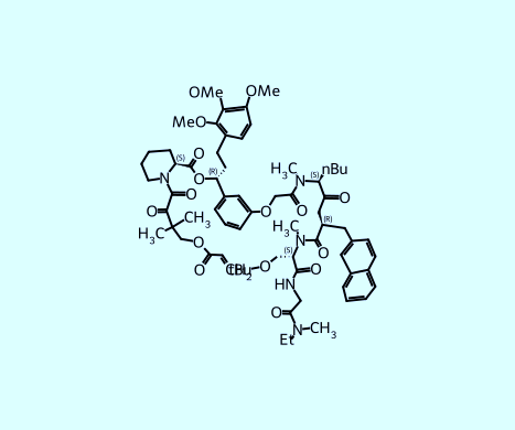 C=CC(=O)OCC(C)(C)C(=O)C(=O)N1CCCC[C@H]1C(=O)O[C@H](CCc1ccc(OC)c(OC)c1OC)c1cccc(OCC(=O)N(C)[C@@H](CCCC)C(=O)C[C@@H](Cc2ccc3ccccc3c2)C(=O)N(C)[C@@H](COC(C)(C)C)C(=O)NCC(=O)N(C)CC)c1